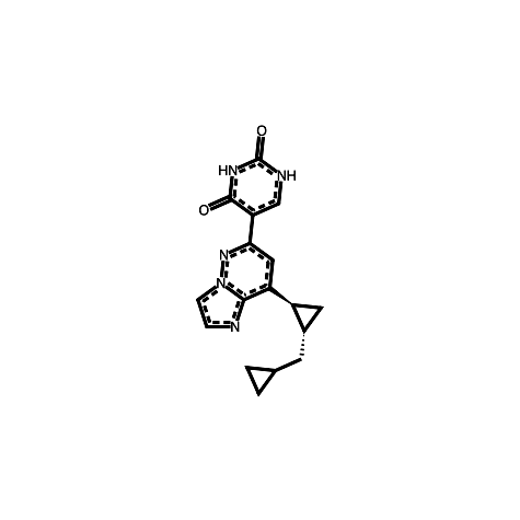 O=c1[nH]cc(-c2cc([C@H]3C[C@@H]3CC3CC3)c3nccn3n2)c(=O)[nH]1